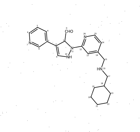 O=CC1C(c2cccnc2)=CNN1c1cc(CNCC2CCCCC2)ccn1